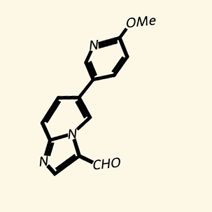 COc1ccc(-c2ccc3ncc(C=O)n3c2)cn1